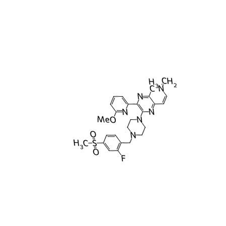 C=N/C=C\c1nc(N2CCN(Cc3ccc(S(C)(=O)=O)cc3F)CC2)c(-c2cccc(OC)n2)nc1C